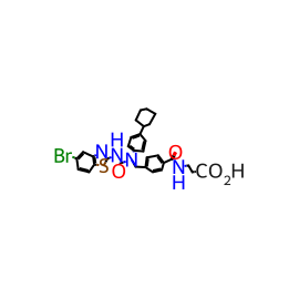 O=C(O)CCNC(=O)c1ccc(CN(C(=O)Nc2nc3cc(Br)ccc3s2)c2ccc(C3CCCCC3)cc2)cc1